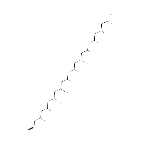 C=CCC(O)CC(O)CC(O)CC(O)CC(O)CC(O)CC(O)CC(O)CC(O)CC(O)CC(O)CCCCC